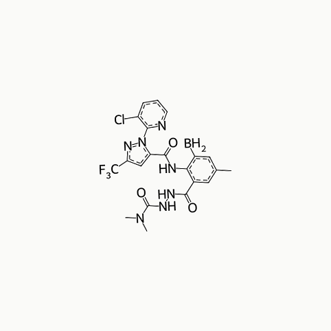 Bc1cc(C)cc(C(=O)NNC(=O)N(C)C)c1NC(=O)c1cc(C(F)(F)F)nn1-c1ncccc1Cl